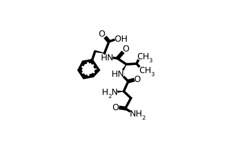 CC(C)[C@@H](NC(=O)[C@H](N)CC(N)=O)C(=O)N[C@@H](Cc1ccccc1)C(=O)O